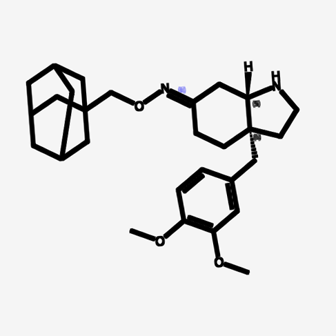 COc1ccc(C[C@@]23CCN[C@H]2C/C(=N/OCC24CC5CC(CC(C5)C2)C4)CC3)cc1OC